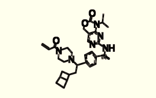 C=CC(=O)N1CCN(C(CC2CC3CCC32)c2ccc([C@H](C)Nc3ncc4c(n3)N(C(C)C)C(=O)OC4)cc2)CC1